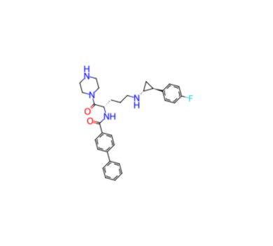 O=C(N[C@@H](CCCN[C@@H]1C[C@H]1c1ccc(F)cc1)C(=O)N1CCNCC1)c1ccc(-c2ccccc2)cc1